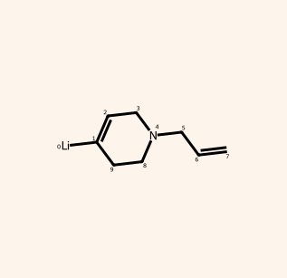 [Li][C]1=CCN(CC=C)CC1